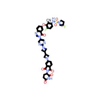 N#Cc1c(NS(=O)(=O)N2CC[C@@H](F)C2)ccc(F)c1Oc1ccc2ncn(-c3cnc(N4CC(C5CN(c6ccc7c(c6)C(=O)N(C6CCC(=O)NC6=O)C7=O)C5)C4)nc3)c(=O)c2c1